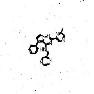 Cc1cncc(-c2nc(NCc3cnccn3)c3c(-c4ccccc4)ccn3n2)n1